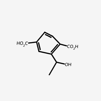 CC(O)c1cc(C(=O)O)ccc1C(=O)O